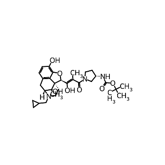 C/C(C(=O)N1CC[C@H](NC(=O)OC(C)(C)C)C1)=C(/O)[C@@H]1Oc2c(O)ccc3c2[C@@]12CCN(CC1CC1)[C@H](C3)[C@@]2(C)O